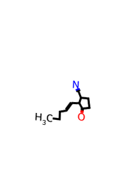 CCCC=CC1C(=O)CCC1C#N